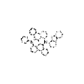 c1ccc(-n2c3cccc4c5ccccc5c5c(c43)-c3c4c(cccc4n5-c4cccc5c4sc4ccccc45)c4ccccc4c32)cc1